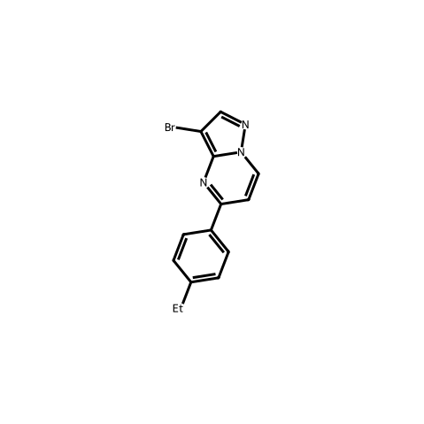 CCc1ccc(-c2ccn3ncc(Br)c3n2)cc1